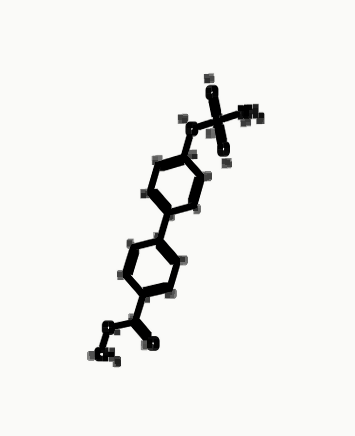 COC(=O)c1ccc(-c2ccc(OS(N)(=O)=O)cc2)cc1